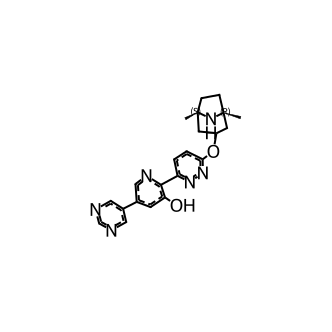 C[C@]12CC[C@](C)(CC(Oc3ccc(-c4ncc(-c5cncnc5)cc4O)nn3)C1)N2